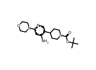 CC(C)(C)OC(=O)N1CCC(c2cnc(N3CCOCC3)cc2N)CC1